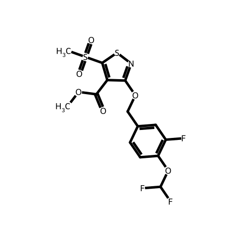 COC(=O)c1c(OCc2ccc(OC(F)F)c(F)c2)nsc1S(C)(=O)=O